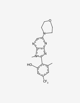 Cc1cc(C(F)(F)F)cc(O)c1-c1nc2nc(N3CCOCC3)cnc2n1C